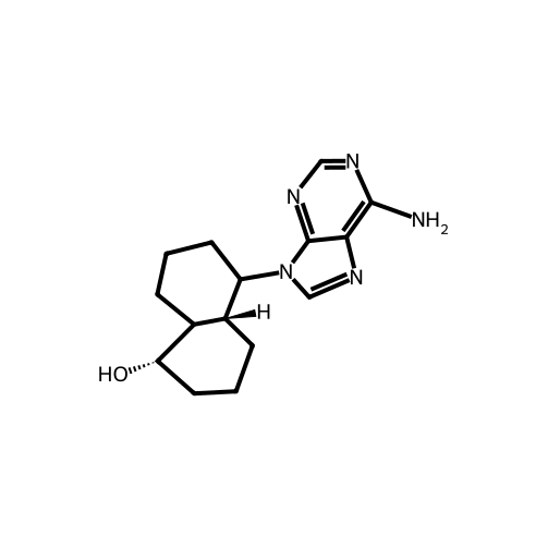 Nc1ncnc2c1ncn2C1CCCC2[C@H]1CCC[C@@H]2O